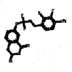 CCCc1ccc(CCC(F)(F)Oc2ccc3c(c2)C(=O)OC(CC)C3)c(F)c1F